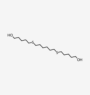 OCCCCCSCCCCCCSCCCCCO